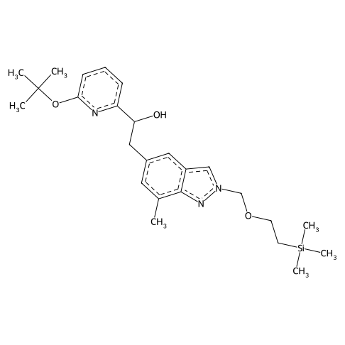 Cc1cc(CC(O)c2cccc(OC(C)(C)C)n2)cc2cn(COCC[Si](C)(C)C)nc12